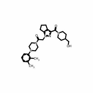 Cc1cccc(N2CCN(C(=O)Cn3nc(C(=O)N4CCC(CO)CC4)c4c3CCC4)CC2)c1C